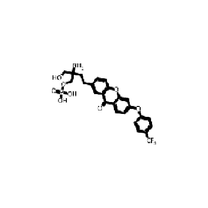 NC(CO)(CCc1ccc2oc3cc(Oc4ccc(C(F)(F)F)cc4)ccc3c(=O)c2c1)COP(=O)(O)O